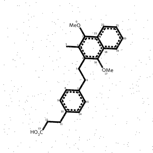 COc1c(C)c(CCc2ccc(CCC(=O)O)cc2)c(OC)c2ccccc12